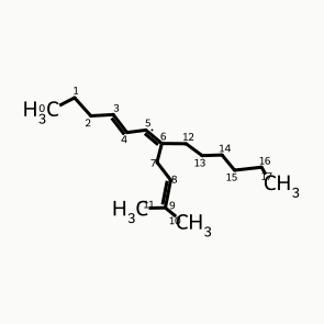 CCCC=C/[C]=C(\CC=C(C)C)CCCCCC